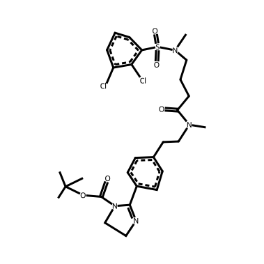 CN(CCc1ccc(C2=NCCN2C(=O)OC(C)(C)C)cc1)C(=O)CCCN(C)S(=O)(=O)c1cccc(Cl)c1Cl